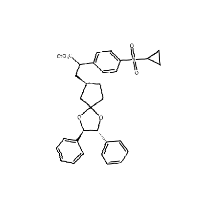 CCOC(=O)C(C[C@H]1CCC2(C1)O[C@H](c1ccccc1)[C@@H](c1ccccc1)O2)c1ccc(S(=O)(=O)C2CC2)cc1